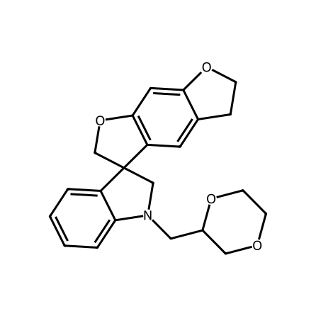 c1ccc2c(c1)N(CC1COCCO1)CC21COc2cc3c(cc21)CCO3